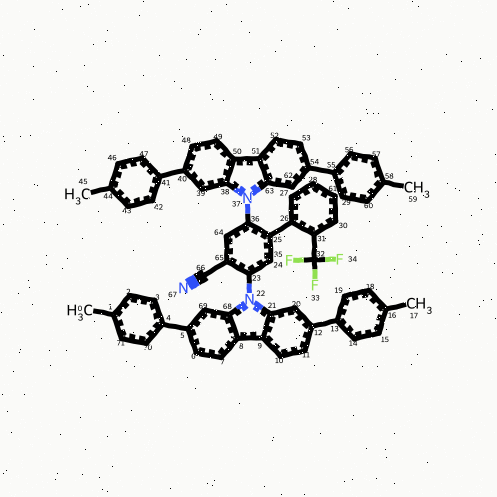 Cc1ccc(-c2ccc3c4ccc(-c5ccc(C)cc5)cc4n(-c4cc(-c5ccccc5C(F)(F)F)c(-n5c6cc(-c7ccc(C)cc7)ccc6c6ccc(-c7ccc(C)cc7)cc65)cc4C#N)c3c2)cc1